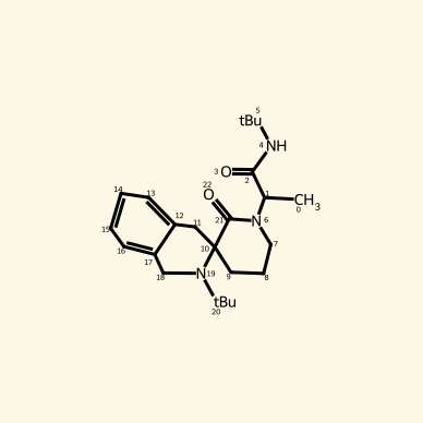 CC(C(=O)NC(C)(C)C)N1CCCC2(Cc3ccccc3CN2C(C)(C)C)C1=O